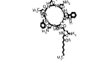 CCCCCCC[C@@H](O)CC(=O)N[C@H](CCN)C(=O)N[C@H]1CCNC(=O)[C@H](Cc2c[nH]c3ccccc23)NC(=O)[C@H](CCN)NC(=O)[C@H](CCN)NC(=O)[C@H](CC(C)C)NC(=O)[C@@H](Cc2ccccc2)NC(=O)[C@H](CCN)NC1=O